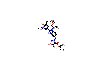 COC[C@H](C)n1c(-c2cc(C)c(=O)n(C)c2)nc2cc(CN[C@H](C(=O)OC(C)C)[C@@H](C)O)ccc21